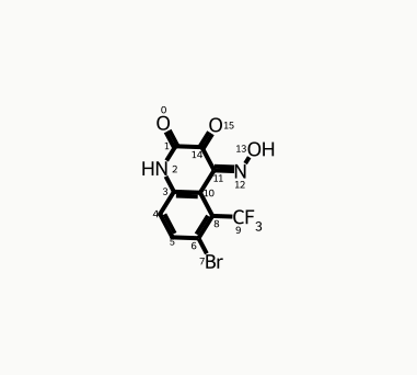 O=C1Nc2ccc(Br)c(C(F)(F)F)c2C(=NO)C1=O